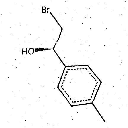 Cc1ccc([C@@H](O)CBr)cc1